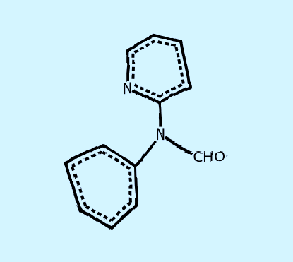 O=[C]N(c1ccccc1)c1ccccn1